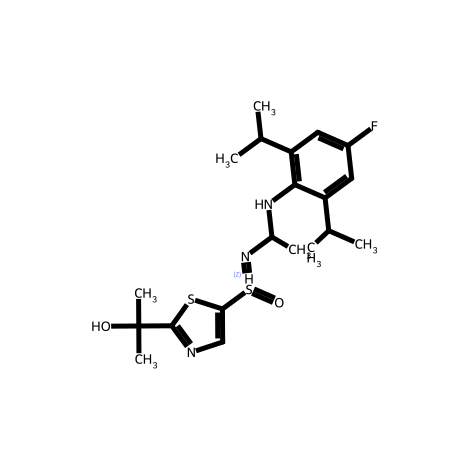 CC(/N=[SH](=O)/c1cnc(C(C)(C)O)s1)Nc1c(C(C)C)cc(F)cc1C(C)C